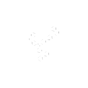 c1ccc2c(-c3ccc(-c4ccc(N(c5ccc6ccc7ccccc7c6c5)c5ccc6c7ccccc7c7ccccc7c6c5)cc4)cc3)cccc2c1